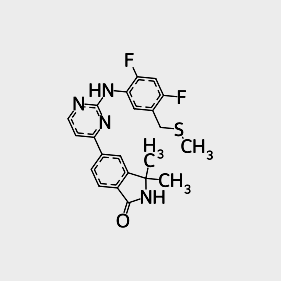 CSCc1cc(Nc2nccc(-c3ccc4c(c3)C(C)(C)NC4=O)n2)c(F)cc1F